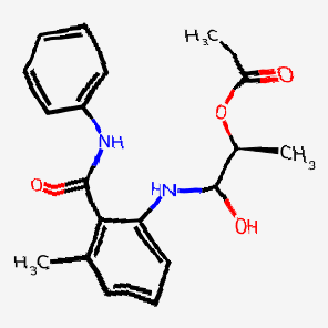 CC(=O)O[C@@H](C)C(O)Nc1cccc(C)c1C(=O)Nc1ccccc1